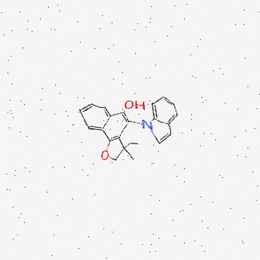 CC1(C)COc2c1c(-n1ccc3ccccc31)c(O)c1ccccc21